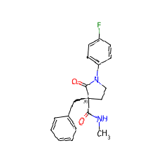 CNC(=O)[C@@]1(Cc2ccccc2)CCN(c2ccc(F)cc2)C1=O